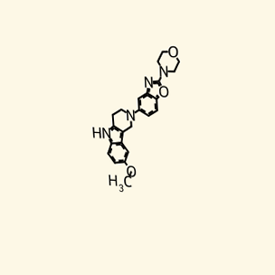 COc1ccc2[nH]c3c(c2c1)CN(c1ccc2oc(N4CCOCC4)nc2c1)CC3